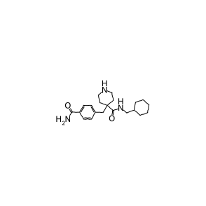 NC(=O)c1ccc(CC2(C(=O)NCC3CCCCC3)CCNCC2)cc1